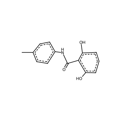 Cc1ccc(NC(=O)c2c(O)cccc2O)cc1